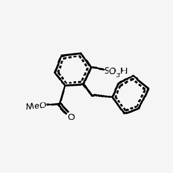 COC(=O)c1cccc(S(=O)(=O)O)c1Cc1ccccc1